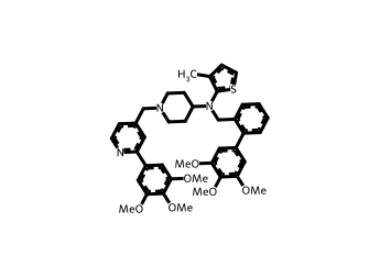 COc1cc(-c2cc(CN3CCC(N(Cc4ccccc4-c4cc(OC)c(OC)c(OC)c4)c4sccc4C)CC3)ccn2)cc(OC)c1OC